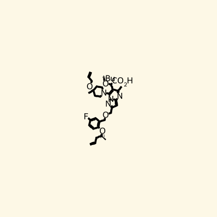 C=CCOC1(C)CCN(c2c(C(OC(C)(C)C)C(=O)O)c(C)nc3cc(COCc4cc(F)ccc4O[C@@H](C)CC=C)nn23)CC1